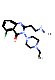 CC(C)(C)CN1CCN(n2c(CCNC(=O)O)nc3cccc(Cl)c3c2=O)CC1